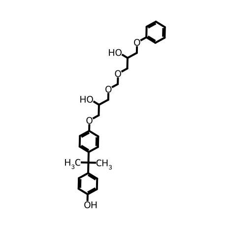 CC(C)(c1ccc(O)cc1)c1ccc(OCC(O)COCOCC(O)COc2ccccc2)cc1